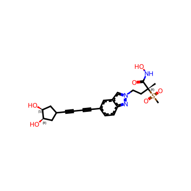 C[C@@](CCn1cc2cc(C#CC#CC3C[C@@H](O)[C@@H](O)C3)ccc2n1)(C(=O)NO)S(C)(=O)=O